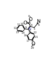 COC(=O)/C(CC#N)=C(\c1ccccc1)c1ccc(OC)cc1